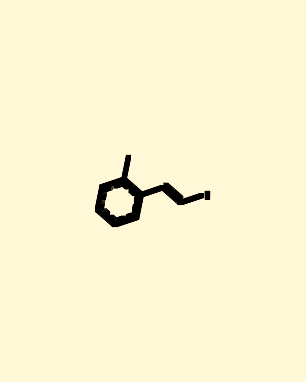 [CH]C=Cc1ccccc1C